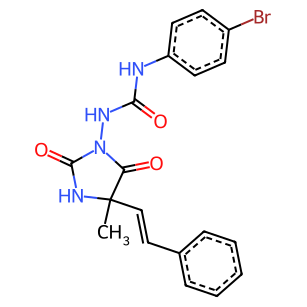 CC1(C=Cc2ccccc2)NC(=O)N(NC(=O)Nc2ccc(Br)cc2)C1=O